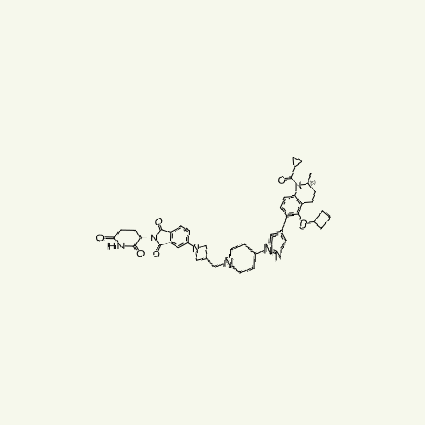 C[C@H]1CCc2c(ccc(-c3cnn(C4CCN(CC5CN(c6ccc7c(c6)C(=O)N(C6CCC(=O)NC6=O)C7=O)C5)CC4)c3)c2OC2CCC2)N1C(=O)C1CC1